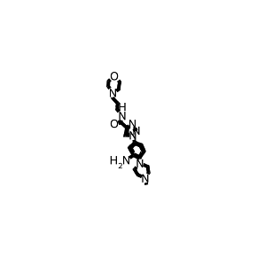 CN1CCN(c2ccc(-n3cc(C(=O)NCCCN4CCOCC4)nn3)cc2N)CC1